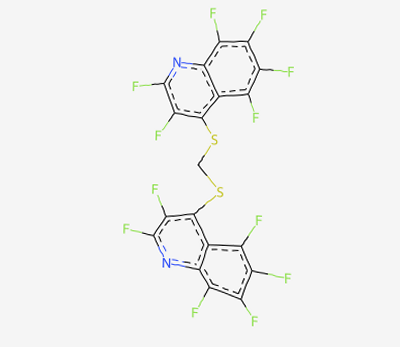 Fc1nc2c(F)c(F)c(F)c(F)c2c(SCSc2c(F)c(F)nc3c(F)c(F)c(F)c(F)c23)c1F